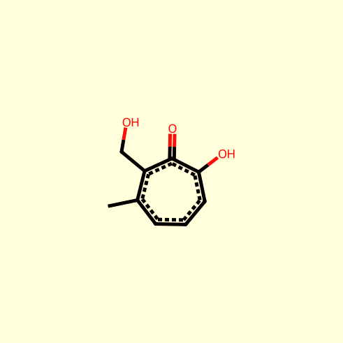 Cc1cccc(O)c(=O)c1CO